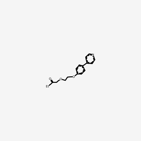 CCC(=O)COCCOc1ccc(-c2ccncc2)cc1